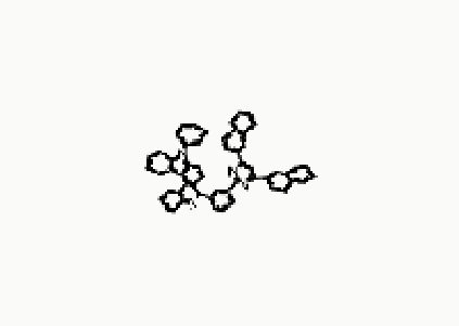 c1ccc(-n2c3ccccc3c3c4c(ccc32)c(-c2cccc(-c3nc(-c5ccc6ccccc6c5)cc(-c5ccc6ccccc6c5)n3)c2)nc2ccccc24)cc1